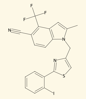 Cc1cc2c(C(F)(F)F)c(C#N)ccc2n1Cc1csc(-c2ccccc2I)n1